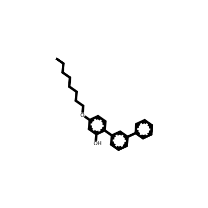 CCCCCCCCOc1ccc(-c2cccc(-c3ccccc3)c2)c(O)c1